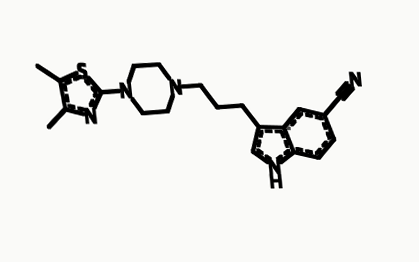 Cc1nc(N2CCN(CCCc3c[nH]c4ccc(C#N)cc34)CC2)sc1C